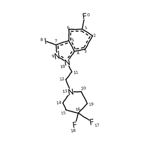 Fc1ccc2c(c1)c(I)nn2CCN1CCC(F)(F)CC1